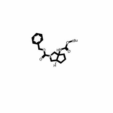 CC(C)(C)OC(=O)NC12CCC[C@H]1CN(C(=O)OCc1ccccc1)C2